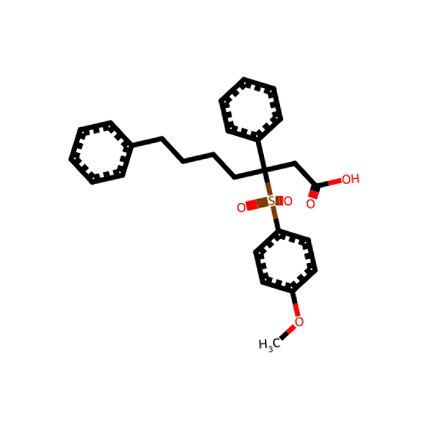 COc1ccc(S(=O)(=O)C(CCCCc2ccccc2)(CC(=O)O)c2ccccc2)cc1